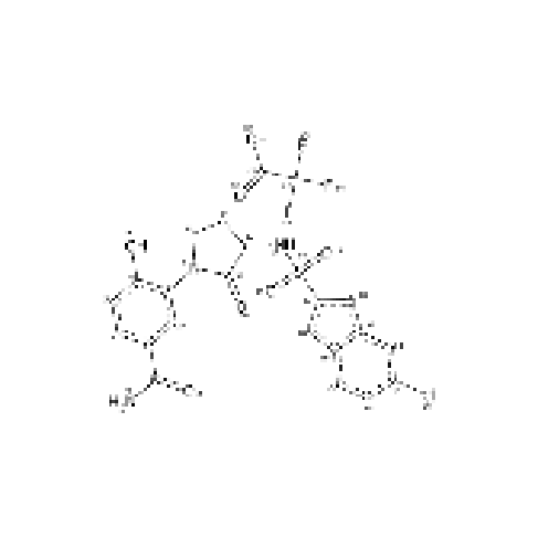 NC(=O)c1ccc(O)c(N2CC[C@H](NS(=O)(=O)c3cc4ccc(Cl)cc4s3)C2=O)c1.O=C(O)C(F)(F)F